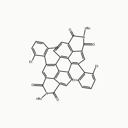 CCCCN1C(=O)c2ccc3c4c(-c5c(CC)cccc5CC)cc5c6c(ccc(c7c(-c8c(CC)cccc8CC)cc(c2c37)C1=O)c64)C(=O)N(CCCC)C5=O